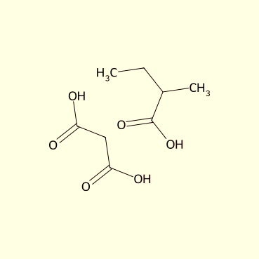 CCC(C)C(=O)O.O=C(O)CC(=O)O